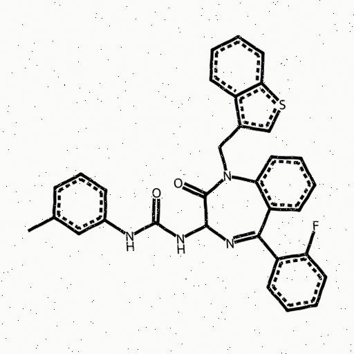 Cc1cccc(NC(=O)NC2N=C(c3ccccc3F)c3ccccc3N(Cc3csc4ccccc34)C2=O)c1